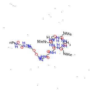 CCCNC(=O)CCC(=O)NCc1cn(CCOCCOCCn2cc(CNC(=O)CCC(=O)NCCCC[C@H]3NC(=O)[C@H](CCCCNC)NC(=O)[C@@H](C)NC(=O)[C@H](CCCCNC)NC(=O)[C@@H](C)NC(=O)[C@H](CCCCNC)NC3=O)nn2)nn1